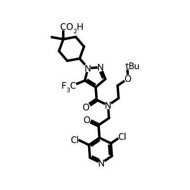 CC(C)(C)OCCN(CC(=O)c1c(Cl)cncc1Cl)C(=O)c1cnn(C2CCC(C)(C(=O)O)CC2)c1C(F)(F)F